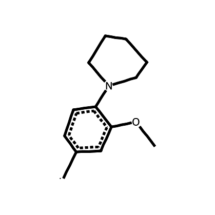 [CH2]c1ccc(N2CCCCC2)c(OC)c1